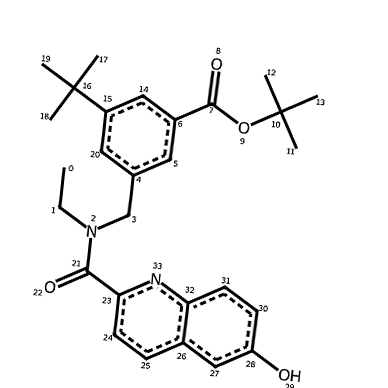 CCN(Cc1cc(C(=O)OC(C)(C)C)cc(C(C)(C)C)c1)C(=O)c1ccc2cc(O)ccc2n1